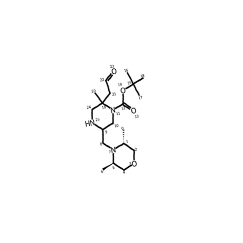 C[C@@H]1COC[C@@H](C)N1CC1CN(C(=O)OC(C)(C)C)C(C)(CC=O)CN1